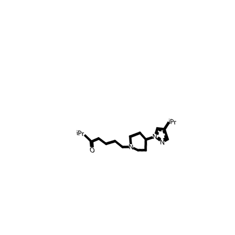 CC(C)C(=O)CCCCN1CCC(n2cc(C(C)C)cn2)CC1